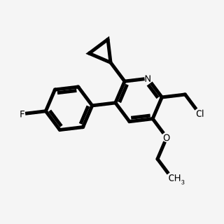 CCOc1cc(-c2ccc(F)cc2)c(C2CC2)nc1CCl